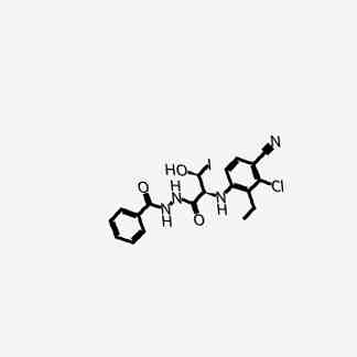 CCc1c(N[C@@H](C(=O)NNC(=O)c2ccccc2)[C@@H](O)I)ccc(C#N)c1Cl